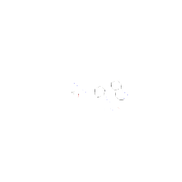 CCOc1cc2ncc(C(N)=O)c(Nc3cccc(CNC(=O)[C@@H](N)CCSC)c3CC)c2cc1OCC